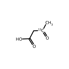 C[13C](=O)CC(=O)O